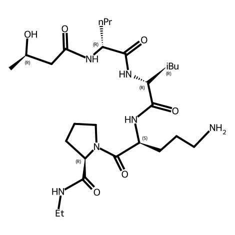 CCC[C@@H](NC(=O)C[C@@H](C)O)C(=O)N[C@@H](C(=O)N[C@@H](CCCN)C(=O)N1CCC[C@@H]1C(=O)NCC)[C@H](C)CC